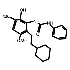 COc1cc(C(C)(C)C)c(O)c(NC(=O)Nc2ccccc2)c1CCC1CCCCC1